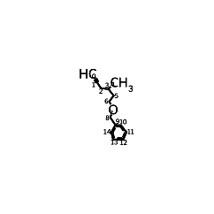 C#CCC(C)CCOCc1ccccc1